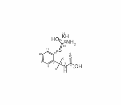 CC(C)(NC(O)=S)c1ccccc1.NC(O)=S.[KH]